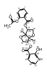 CC(=O)Oc1ccccc1C(=O)O[C@H]1CO[C@H]2[C@@H]1OC[C@H]2OC(=O)c1cccnc1O